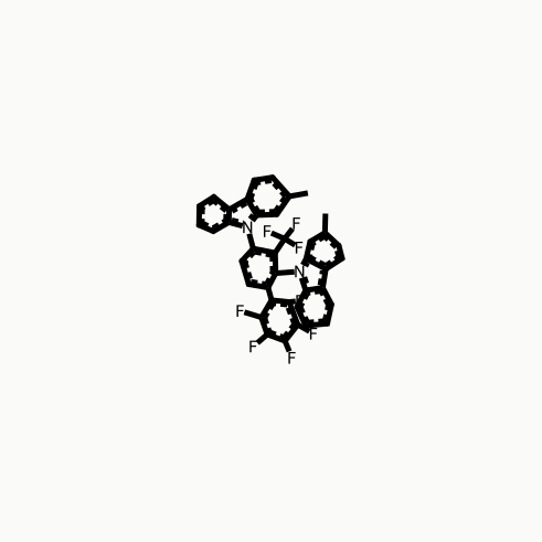 Cc1ccc2c3ccccc3n(-c3ccc(-c4c(F)c(F)c(F)c(F)c4F)c(-n4c5ccccc5c5ccc(C)cc54)c3C(F)(F)F)c2c1